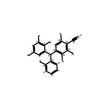 Cc1cc(C)c(C)c(C(c2ccccc2C)c2cc(C)c(C#N)c(C)c2C)c1